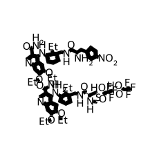 CCOc1cc2ncc(C(N)=O)c(Nc3cccc(CNC(=O)[C@@H]4CSCN4)c3CC)c2cc1OCC.CCOc1cc2ncc(C(N)=O)c(Nc3cccc(CNC(=O)[C@H](N)Cc4ccc([N+](=O)[O-])cc4)c3CC)c2cc1OCC.O=C(O)C(F)(F)F.O=C(O)C(F)(F)F